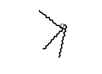 CCCCCCCCCCCCCCC1CCOC1(CCCCCCCCCCCCCC)CCCCCCCCCCCCCC